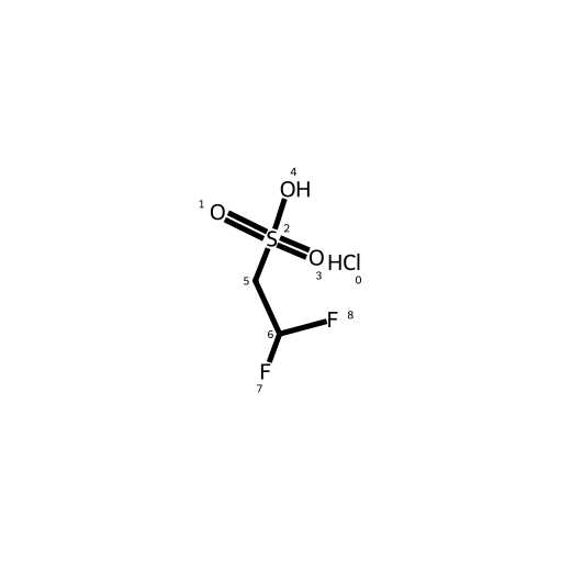 Cl.O=S(=O)(O)CC(F)F